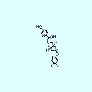 Oc1ccc(C(O)CN2C[C@H]3C[C@H](Oc4ccc(F)c(F)c4)C[C@H]3C2)nc1